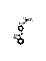 O=C(ON[C@@H]1CC[C@H](CN2NNc3ccccc32)C1)C(F)(F)F